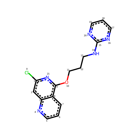 Clc1cc2ncccc2c(OCCCNc2ncccn2)n1